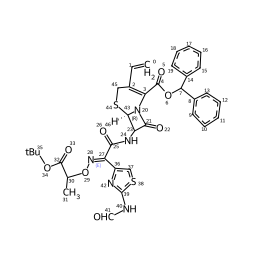 C=CC1=C(C(=O)OC(c2ccccc2)c2ccccc2)N2C(=O)C(NC(=O)/C(=N/OC(C)C(=O)OC(C)(C)C)c3csc(NC=O)n3)[C@H]2SC1